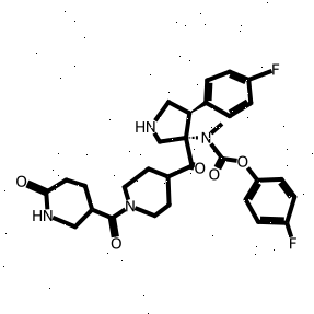 CN(C(=O)Oc1ccc(F)cc1)[C@]1(C(=O)C2CCN(C(=O)C3CCC(=O)NC3)CC2)CNC[C@H]1c1ccc(F)cc1